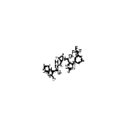 Cc1nc(-c2cccc(C(F)(F)F)c2)c(C(=O)N2CCC2CNC(=O)c2c(C)nc3sccn23)s1